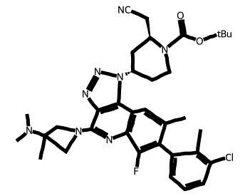 Cc1cc2c(nc(N3CC(C)(N(C)C)C3)c3nnn([C@H]4CCN(C(=O)OC(C)(C)C)[C@H](CC#N)C4)c32)c(F)c1-c1cccc(Cl)c1C